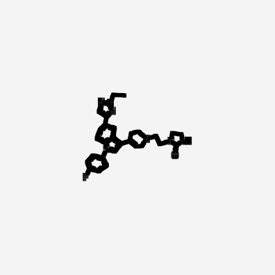 CCn1ncc(-c2ccc3c(c2)c(C2=CCN(CCN4CCNC4=O)CC2)cn3-c2ccc(F)cc2)n1